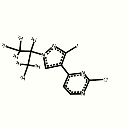 [2H]C([2H])([2H])C([2H])(n1cc(-c2ccnc(Cl)n2)c(I)n1)C([2H])([2H])[2H]